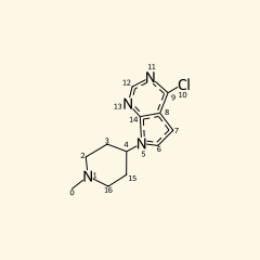 CN1CCC(n2ccc3c(Cl)ncnc32)CC1